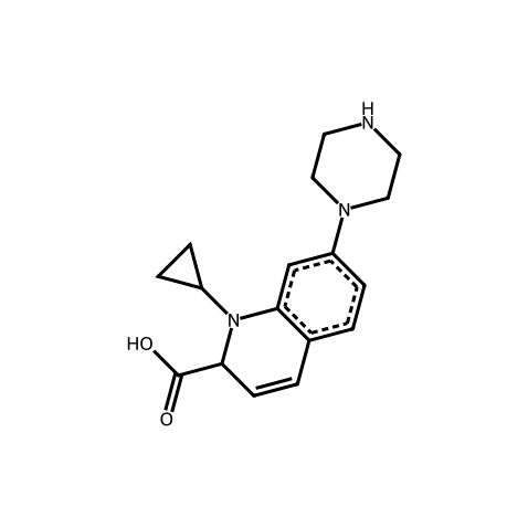 O=C(O)C1C=Cc2ccc(N3CCNCC3)cc2N1C1CC1